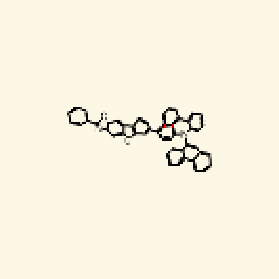 c1ccc(-c2nc3cc4oc5cc(-c6ccc(N(c7ccccc7-c7ccccc7)c7cc8ccccc8c8ccccc78)cc6)ccc5c4cc3o2)cc1